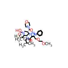 COCCOCc1c(C(=O)N(CC(C)C)[C@H]2C[C@@H](C(=O)N3CCOCC3)CN(C(=O)O)C2C(C)(C)C)nnn1-c1ccccc1